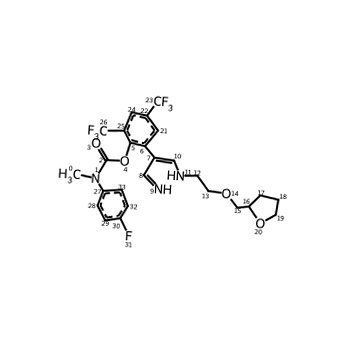 CN(C(=O)Oc1c(/C(C=N)=C/NCCOCC2CCCO2)cc(C(F)(F)F)cc1C(F)(F)F)c1ccc(F)cc1